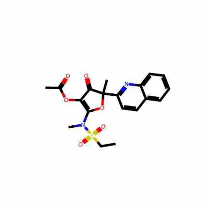 CCS(=O)(=O)N(C)C1=C(OC(C)=O)C(=O)C(C)(c2ccc3ccccc3n2)O1